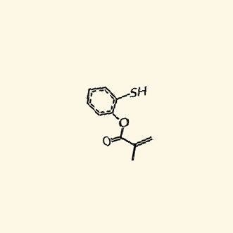 C=C(C)C(=O)Oc1ccccc1S